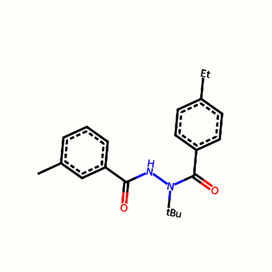 CCc1ccc(C(=O)N(NC(=O)c2cccc(C)c2)C(C)(C)C)cc1